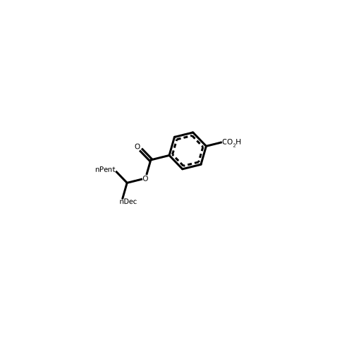 CCCCCCCCCCC(CCCCC)OC(=O)c1ccc(C(=O)O)cc1